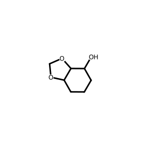 OC1CCCC2OCOC12